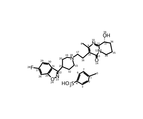 Cc1ccc(S(=O)(=O)O)cc1.Cc1nc2n(c(=O)c1CCN1CCC(c3noc4cc(F)ccc34)CC1)CCC[C@H]2O